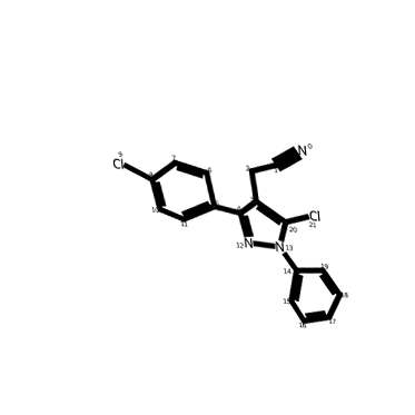 N#CCc1c(-c2ccc(Cl)cc2)nn(-c2ccccc2)c1Cl